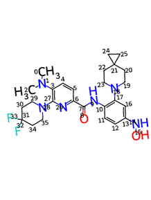 CN(C)c1ccc(C(=O)Nc2ccc(NO)cc2N2CCC3(CC2)CC3)nc1N1CCC(F)(F)CC1